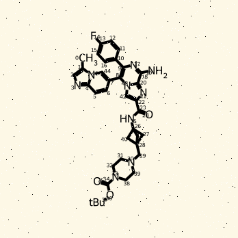 Cc1cnc2ccc(-c3c(-c4ccc(F)cc4)nc(N)c4nc(C(=O)NC56CC(CN7CCN(C(=O)OC(C)(C)C)CC7)(C5)C6)cn34)cn12